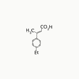 CCc1ccc(/C(C)=C/C(=O)O)cc1